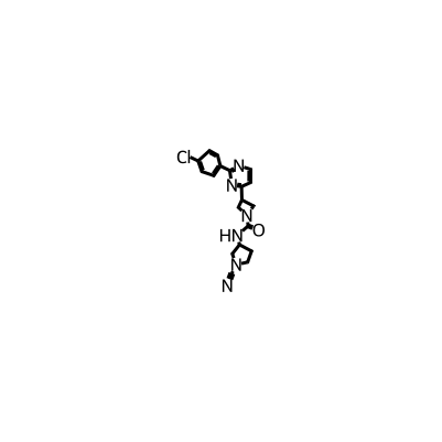 N#CN1CCC(NC(=O)N2CC(c3ccnc(-c4ccc(Cl)cc4)n3)C2)C1